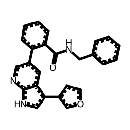 O=C(NCc1ccccc1)c1ccccc1-c1cnc2[nH]cc(-c3ccoc3)c2c1